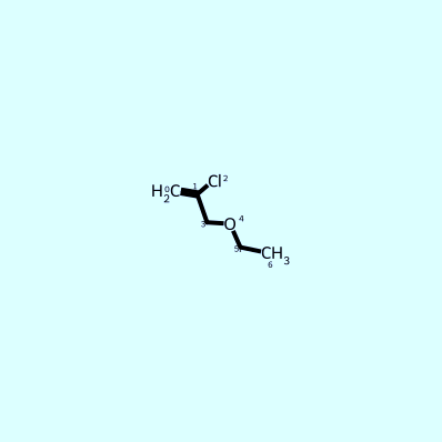 C=C(Cl)CO[CH]C